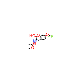 O=C(O)/C(Cc1ccc(OC(F)(F)F)cc1)=N/OC1CCCCO1